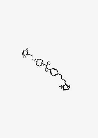 Cn1ccnc1SCCc1ccc(OC(=O)N2CCN(CCc3nccs3)CC2)cc1